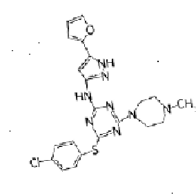 CN1CCN(c2nc(Nc3cc(-c4ccco4)[nH]n3)nc(Sc3ccc(Cl)cc3)n2)CC1